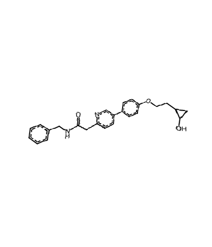 O=C(Cc1ccc(-c2ccc(OCCC3CC3O)cc2)cn1)NCc1ccccc1